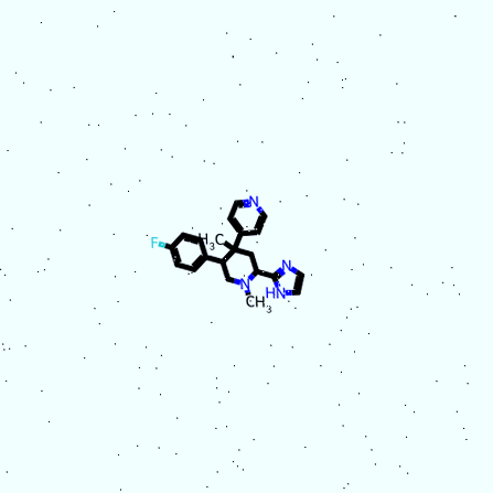 CN1CC(c2ccc(F)cc2)C(C)(c2ccncc2)CC1c1ncc[nH]1